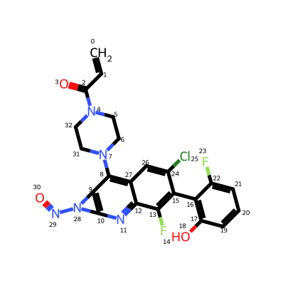 C=CC(=O)N1CCN(c2c3c(nc4c(F)c(-c5c(O)cccc5F)c(Cl)cc24)N3N=O)CC1